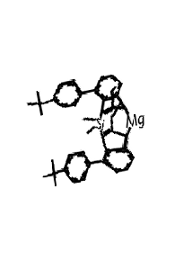 CCC1=C2c3c(-c4ccc(C(C)(C)C)cc4)cccc3[CH]1[Mg][CH]1C(CC)=C(c3c(-c4ccc(C(C)(C)C)cc4)cccc31)[Si]2(C)C